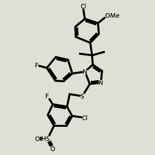 COc1cc(C(C)(C)c2cnc(SCc3c(F)cc([SH](=O)=O)cc3Cl)n2-c2ccc(F)cc2)ccc1Cl